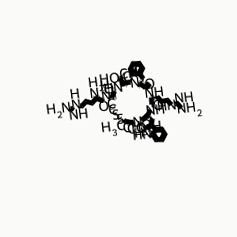 C[C@@H](O)[C@@H]1NC(=O)[C@@H](NC(=O)[C@@H](N)CCCNC(=N)N)CCSSC(C)(C)[C@@H](C(=O)O)NC(=O)[C@H](Cc2c[nH]c3ccccc23)NC(=O)[C@H](CCCNC(=N)N)NC(=O)[C@@H](Cc2ccccc2)NC1=O